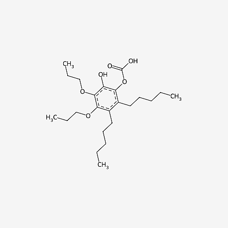 CCCCCc1c(CCCCC)c(OCCC)c(OCCC)c(O)c1OC(=O)O